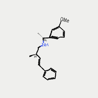 COc1cccc([C@@H](C)NC[C@H](C)C=Cc2ccccc2)c1